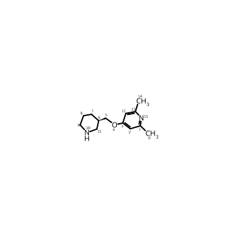 Cc1cc(OC[C@@H]2CCCNC2)cc(C)n1